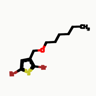 CCCCCCOCc1cc(Br)sc1Br